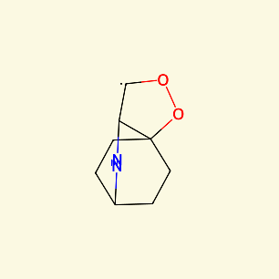 [CH]1OOC23CCC(CC2)N=NC13